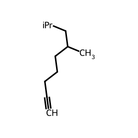 C#CCCCC(C)CC([CH2])C